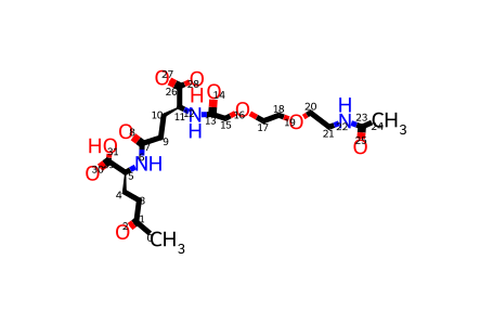 CC(=O)CC[C@H](NC(=O)CC[C@H](NC(=O)COCCOCCNC(C)=O)C(=O)O)C(=O)O